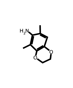 Cc1cc2c(c(C)c1N)OCCO2